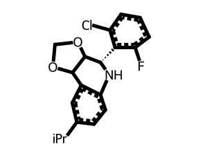 CC(C)c1ccc2c(c1)C1OCOC1[C@H](c1c(F)cccc1Cl)N2